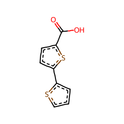 O=C(O)c1ccc(-c2cccs2)s1